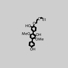 CCC=C=CCOc1ccc(-c2c(OC)cc(-c3ccc(O)cc3)c(OC)c2O)cc1O